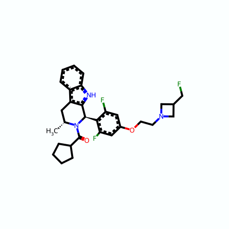 C[C@@H]1Cc2c([nH]c3ccccc23)[C@@H](c2c(F)cc(OCCN3CC(CF)C3)cc2F)N1C(=O)C1CCCC1